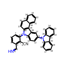 N#Cc1c(C=N)cccc1-n1c2ccc(-n3c4ccccc4c4ccccc43)cc2c2c3ccccc3ccc21